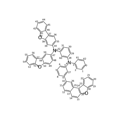 c1ccc(N(c2cccc(-c3ccc4ccc5oc6ccccc6c5c4c3)c2)c2cccc(N(c3ccc4c(c3)oc3ccccc34)c3ccc4oc5ccccc5c4c3)c2)cc1